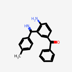 Cc1ccc(C(=N)c2cc(C(=O)c3ccccc3)ccc2N)cc1